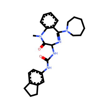 CN1C(=O)C(NC(=O)Nc2ccc3c(c2)CCC3)N=C(N2CCCCCC2)c2ccccc21